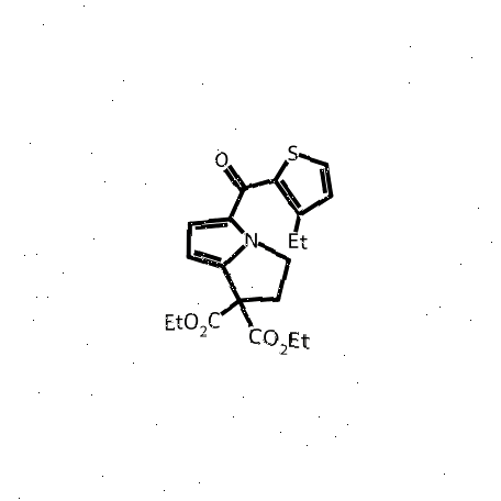 CCOC(=O)C1(C(=O)OCC)CCn2c(C(=O)c3sccc3CC)ccc21